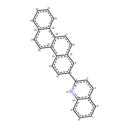 [c]1c(-c2ccc3ccccc3n2)ccc2c1ccc1c3ccccc3ccc21